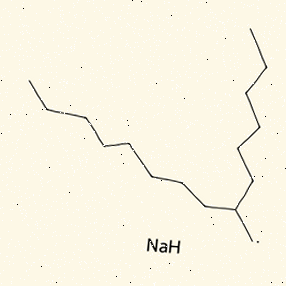 [CH2]C(CCCCCC)CCCCCCCC.[NaH]